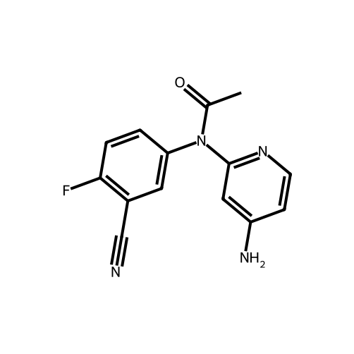 CC(=O)N(c1ccc(F)c(C#N)c1)c1cc(N)ccn1